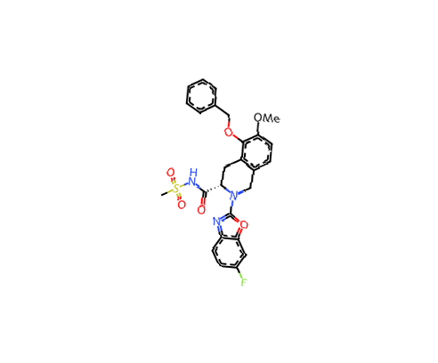 COc1ccc2c(c1OCc1ccccc1)C[C@@H](C(=O)NS(C)(=O)=O)N(c1nc3ccc(F)cc3o1)C2